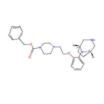 O=C(OCc1ccccc1)N1CCN(CCOc2ccccc2N2[C@@H]3CC[C@H]2CNC3)CC1